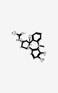 CN1c2ccccc2[C@H]2C[C@H](NC(=O)C(F)(F)F)CCN2c2ccc(C#N)c(Cl)c21